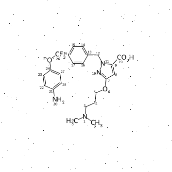 CN(C)CCCOc1cc(C(=O)O)n(Cc2ccccc2)n1.Nc1ccc(OC(F)(F)F)cc1